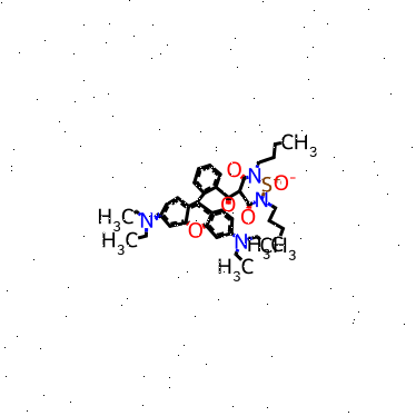 CCCCN1C(=O)C(C(=O)c2ccccc2-c2c3ccc(=[N+](CC)CC)cc-3oc3cc(N(CC)CC)ccc23)C(=O)N(CCCC)[S+]1[O-]